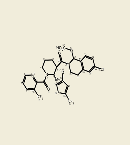 CCC[C@H]1N(C(=O)c2ncccc2C(F)(F)F)CCC[C@@]1(Oc1csc(C(F)(F)F)c1)C(=O)N1CCc2cc(Cl)ccc2C1OC(=O)O